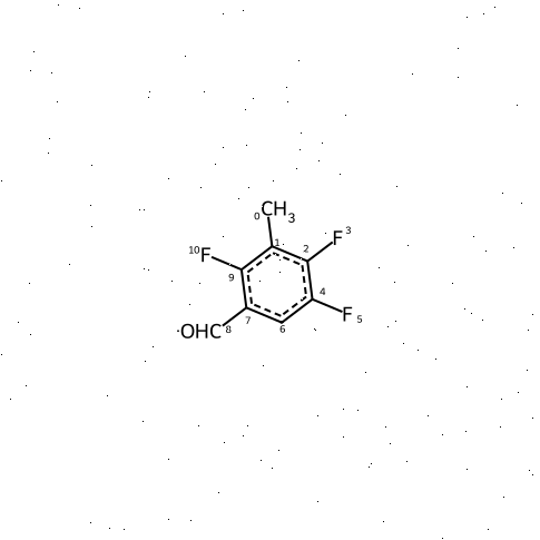 Cc1c(F)c(F)cc([C]=O)c1F